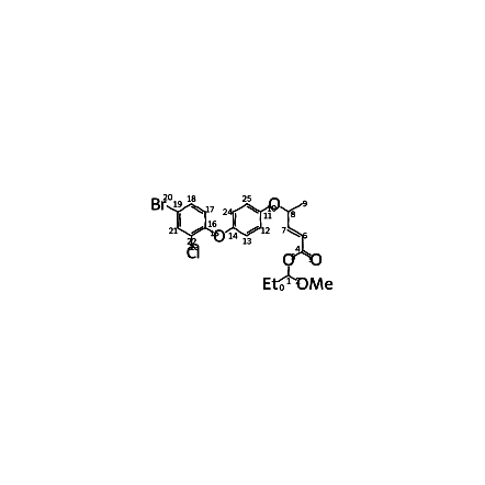 CCC(OC)OC(=O)C=CC(C)Oc1ccc(Oc2ccc(Br)cc2Cl)cc1